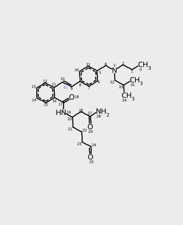 CCCN(Cc1ccc(/C=C/c2ccccc2C(=O)NC(CCCC=O)CC(N)=O)cc1)CC(C)C